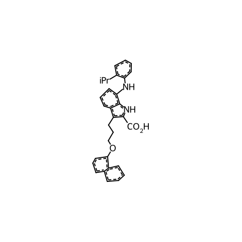 CC(C)c1ccccc1Nc1cccc2c(CCCOc3cccc4ccccc34)c(C(=O)O)[nH]c12